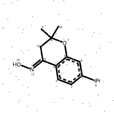 CC(C)c1ccc2c(c1)OC(C)(C)CC2=NO